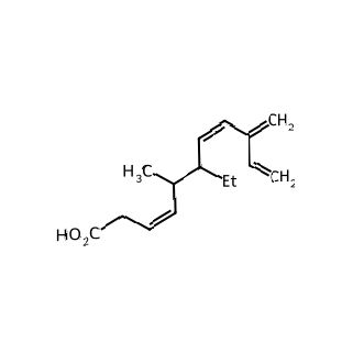 C=CC(=C)/C=C\C(CC)C(C)/C=C\CC(=O)O